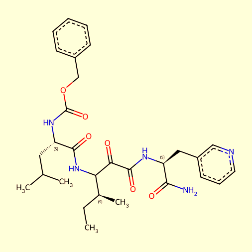 CC[C@H](C)C(NC(=O)[C@H](CC(C)C)NC(=O)OCc1ccccc1)C(=O)C(=O)N[C@@H](Cc1cccnc1)C(N)=O